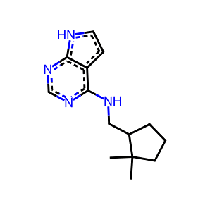 CC1(C)CCCC1CNc1ncnc2[nH]ccc12